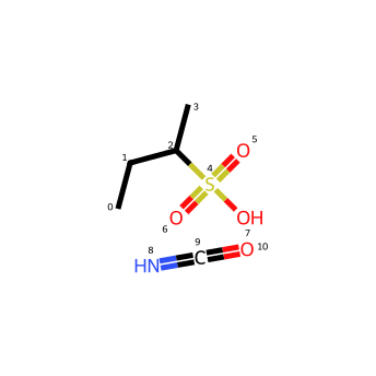 CCC(C)S(=O)(=O)O.N=C=O